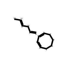 C1=C\CCCC\C=C/1.C=CC/C=C/C